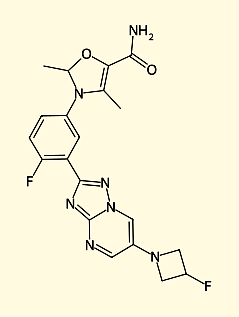 CC1=C(C(N)=O)OC(C)N1c1ccc(F)c(-c2nc3ncc(N4CC(F)C4)cn3n2)c1